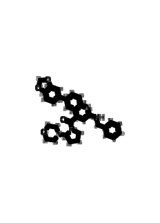 O=C(c1cc(NCc2ccccc2)nc2ccc(-c3ccc4c(c3)OCO4)cc12)N1CCCC1N1CCOCC1